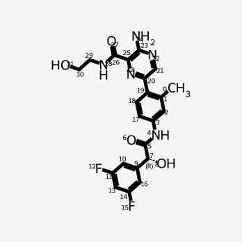 Cc1cc(NC(=O)[C@H](O)c2cc(F)cc(F)c2)ccc1-c1cnc(N)c(C(=O)NCCO)n1